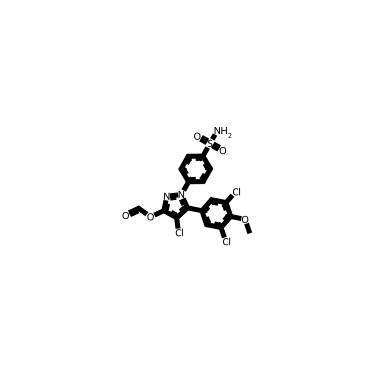 COc1c(Cl)cc(-c2c(Cl)c(OC=O)nn2-c2ccc(S(N)(=O)=O)cc2)cc1Cl